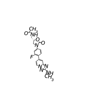 CNc1nc2cc(-c3ccc(N4C[C@H](CNC(C)=O)OC4=O)cc3F)ccn2n1